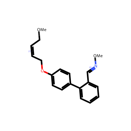 COC/C=C\COc1ccc(-c2ccccc2/C=N/OC)cc1